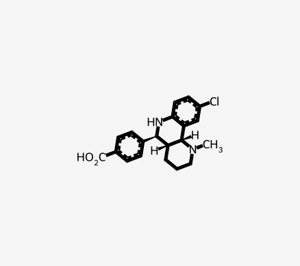 CN1CCC[C@@H]2[C@@H](c3ccc(C(=O)O)cc3)Nc3ccc(Cl)cc3[C@@H]21